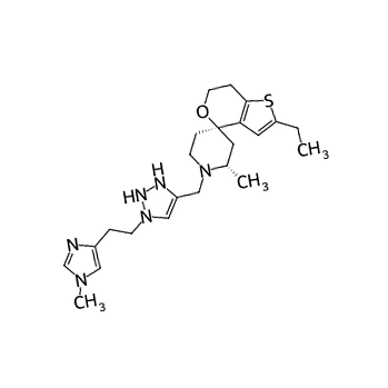 CCc1cc2c(s1)CCO[C@@]21CCN(CC2=CN(CCc3cn(C)cn3)NN2)[C@@H](C)C1